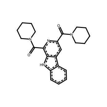 O=C(c1cc2c([nH]c3ccccc32)c(C(=O)N2CCCCC2)n1)N1CCCCC1